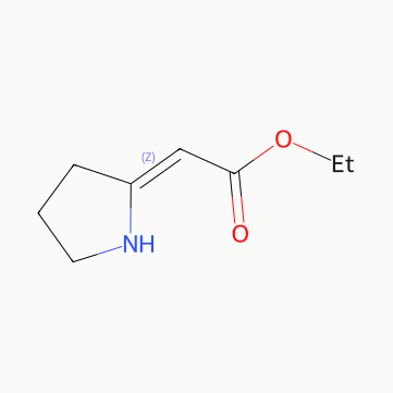 CCOC(=O)/C=C1/CCCN1